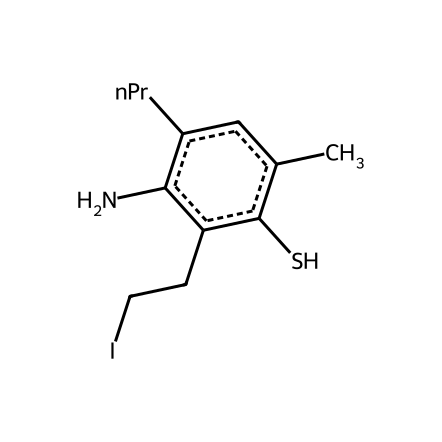 CCCc1cc(C)c(S)c(CCI)c1N